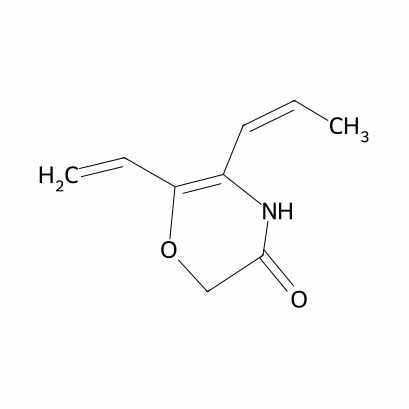 C=CC1=C(/C=C\C)NC(=O)CO1